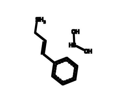 OBO.[SiH3]CC=Cc1ccccc1